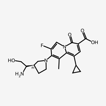 Cc1c(N2CC[C@@H](C(N)CO)C2)c(F)cn2c(=O)c(C(=O)O)cc(C3CC3)c12